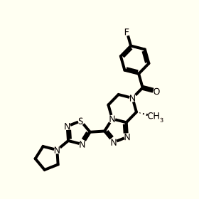 C[C@@H]1c2nnc(-c3nc(N4CCCC4)ns3)n2CCN1C(=O)c1ccc(F)cc1